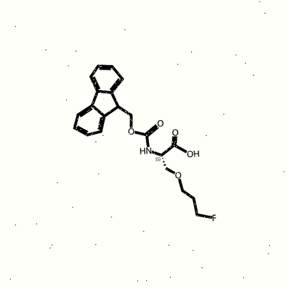 O=C(N[C@@H](COCCCF)C(=O)O)OCC1c2ccccc2-c2ccccc21